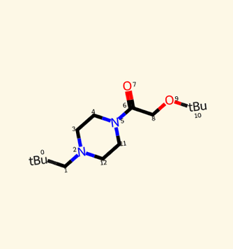 CC(C)(C)CN1CCN(C(=O)COC(C)(C)C)CC1